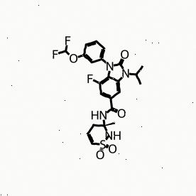 CC(C)n1c(=O)n(-c2cccc(OC(F)F)c2)c2c(F)cc(C(=O)N[C@@]3(C)CC=CS(=O)(=O)N3)cc21